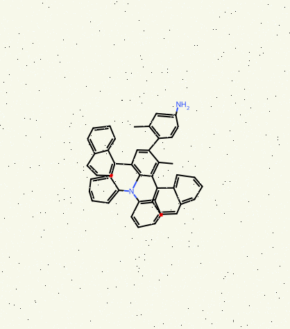 Cc1cc(N)ccc1-c1cc(-c2cccc3ccccc23)c(N(c2ccccc2)c2ccccc2)c(-c2cccc3ccccc23)c1C